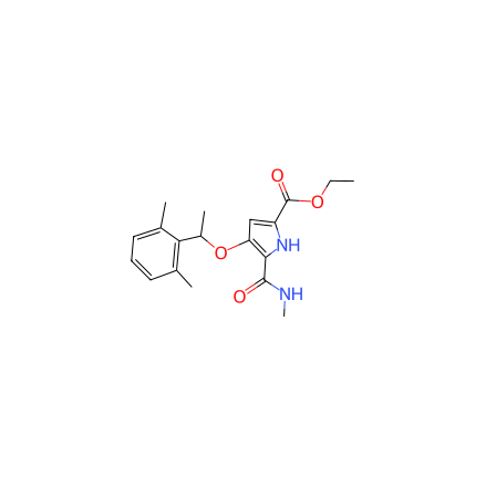 CCOC(=O)c1cc(OC(C)c2c(C)cccc2C)c(C(=O)NC)[nH]1